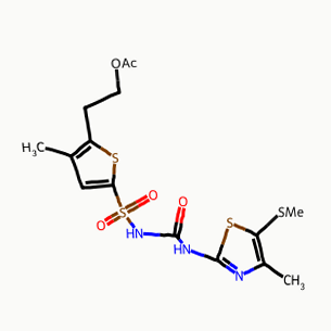 CSc1sc(NC(=O)NS(=O)(=O)c2cc(C)c(CCOC(C)=O)s2)nc1C